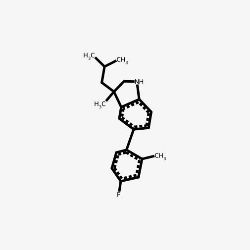 Cc1cc(F)ccc1-c1ccc2c(c1)C(C)(CC(C)C)CN2